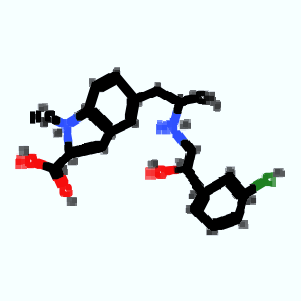 CC(Cc1ccc2c(c1)cc(C(=O)O)n2C)NC[C@H](O)c1cccc(Cl)c1